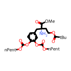 CCCCCOC(=O)Oc1ccc(C[C@](N)(CCOC(=O)C(C)(C)C)C(=O)OC)cc1OC(=O)OCCCCC